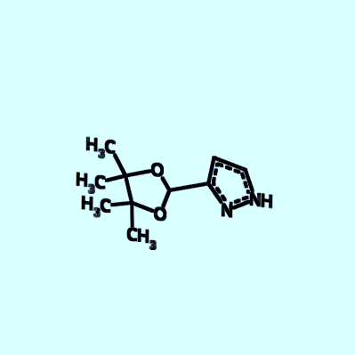 CC1(C)OC(c2cc[nH]n2)OC1(C)C